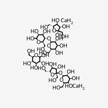 OC[C@H]1OC(O)[C@H](O)[C@@H](O)[C@@H]1O.OC[C@H]1O[C@@H](O[C@H]2[C@H](O)[C@@H](O)C(O)O[C@@H]2CO)[C@H](O)[C@@H](O)[C@H]1O.OC[C@H]1O[C@@](CO)(O[C@H]2O[C@H](CO)[C@@H](O)[C@H](O)[C@H]2O)[C@@H](O)[C@@H]1O.OC[C@H]1O[C@](O)(CO)[C@@H](O)[C@@H]1O.[CaH2].[CaH2]